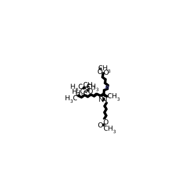 CCCCCC(C=Cc1nn(CCCCCCOC(C)=O)c(C)c1C/C=C\CCCC(=O)OC)O[Si](C)(C)C(C)(C)C